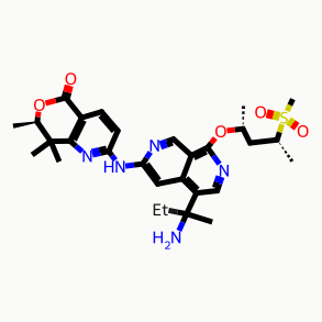 CCC(C)(N)c1cnc(O[C@H](C)C[C@@H](C)S(C)(=O)=O)c2cnc(Nc3ccc4c(n3)C(C)(C)[C@@H](C)OC4=O)cc12